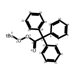 CC(C)(C)OOC(=O)C(c1ccccc1)(c1ccccc1)c1ccccc1